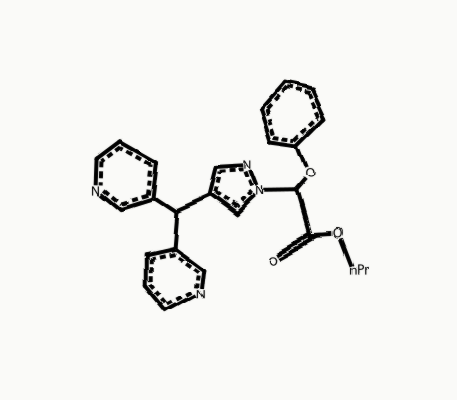 CCCOC(=O)C(Oc1ccccc1)n1cc(C(c2cccnc2)c2cccnc2)cn1